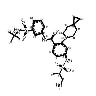 C[C@H](CO)S(=O)(=O)Nc1ccc(C(=O)Nc2cccc(S(=O)(=O)NC(C)(C)C)c2)c(N2CCC3(CC2)CC3)c1